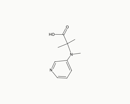 CN(c1cccnc1)C(C)(C)C(=O)O